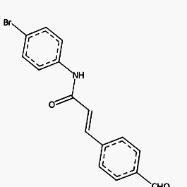 O=Cc1ccc(C=CC(=O)Nc2ccc(Br)cc2)cc1